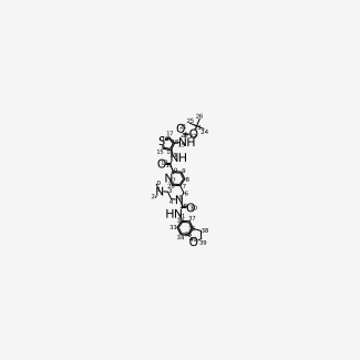 CN(C)CCN(Cc1ccc(C(=O)Nc2cscc2NC(=O)OC(C)(C)C)nc1)C(=O)Nc1ccc2c(c1)CCO2